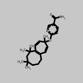 CC1(C)CCCC2=C(C=CC(C)(Oc3ccc(C(N)=O)cn3)C=C2)C(C)(C)C1